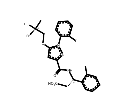 Cc1ccccc1[C@H](CC(=O)O)NC(=O)c1cc(OC[C@@](C)(O)C(C)C)n(-c2ccccc2F)n1